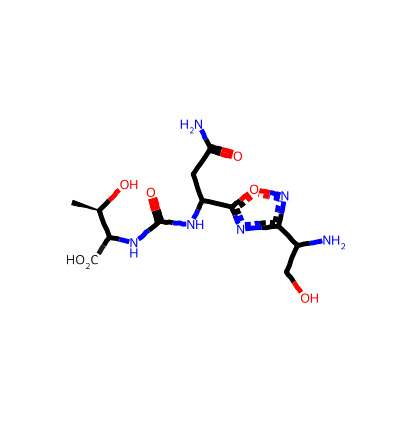 C[C@@H](O)C(NC(=O)NC(CC(N)=O)c1nc(C(N)CO)no1)C(=O)O